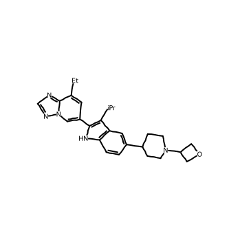 CCc1cc(-c2[nH]c3ccc(C4CCN(C5COC5)CC4)cc3c2C(C)C)cn2ncnc12